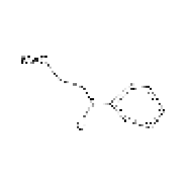 COCC[S+]([O-])c1ccccc1